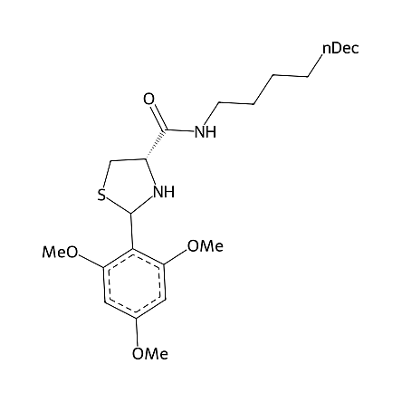 CCCCCCCCCCCCCCNC(=O)[C@H]1CSC(c2c(OC)cc(OC)cc2OC)N1